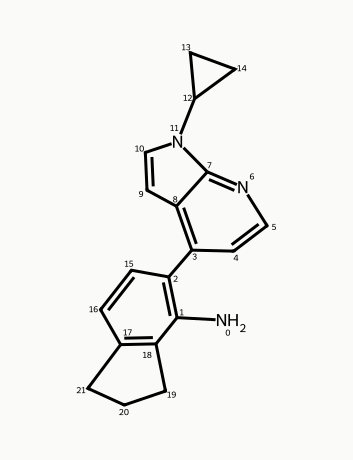 Nc1c(-c2ccnc3c2ccn3C2CC2)ccc2c1CCC2